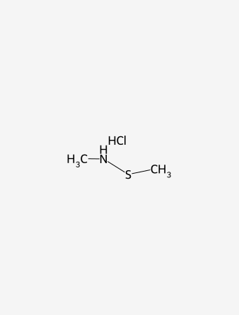 CNSC.Cl